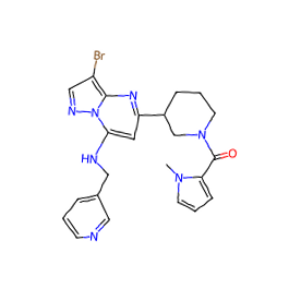 Cn1cccc1C(=O)N1CCCC(c2cc(NCc3cccnc3)n3ncc(Br)c3n2)C1